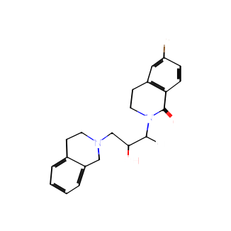 CC(C(O)CN1CCc2ccccc2C1)N1CCc2cc(Br)ccc2C1=O